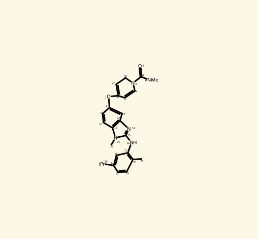 CNC(=O)N1C=CC(Oc2ccc3c(c2)nc(Nc2cc(C(C)C)ccc2C)n3C)=CC1